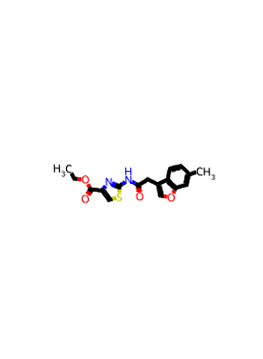 CCOC(=O)c1csc(NC(=O)Cc2coc3cc(C)ccc23)n1